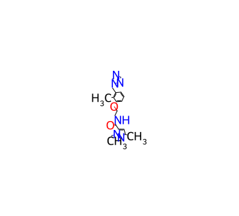 CCn1nc(C)cc1C(=O)NCCOc1cccc(Cn2cncn2)c1C